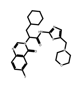 O=C(Nc1ncc(CN2CCOCC2)s1)C(CC1CCCCC1)n1cnc2ccc(F)cc2c1=O